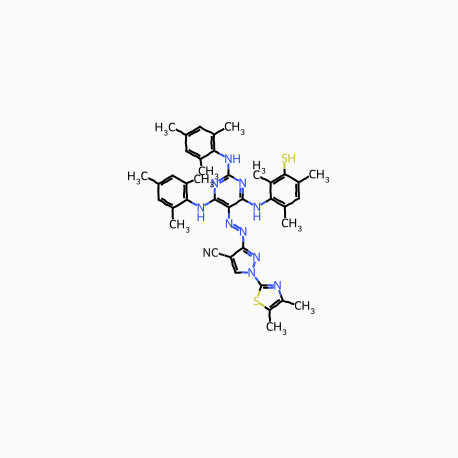 Cc1cc(C)c(Nc2nc(Nc3c(C)cc(C)cc3C)c(N=Nc3nn(-c4nc(C)c(C)s4)cc3C#N)c(Nc3c(C)cc(C)c(S)c3C)n2)c(C)c1